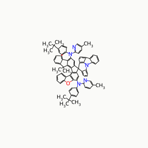 Cc1ccc(N(c2ccc(C(C)(C)C)cc2)c2cc3c(c4c2-c2ccccc2C4(C)C)-c2c(cc(N(c4ccc(C(C)(C)C)cc4)c4ccc(C)cn4)c4oc5ccccc5c24)C32c3ccccc3-n3c4ccccc4c4cccc2c43)nc1